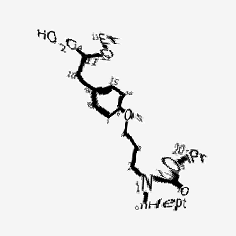 CCCCCCCN(CCCOc1ccc(CC(OCC)C(=O)O)cc1)C(=O)OC(C)C